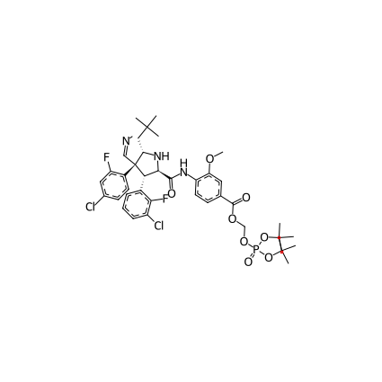 C/N=C\[C@]1(c2ccc(Cl)cc2F)[C@H](CC(C)(C)C)N[C@@H](C(=O)Nc2ccc(C(=O)OCOP(=O)(OC(C)(C)C)OC(C)(C)C)cc2OC)[C@@H]1c1cccc(Cl)c1F